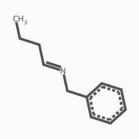 CCCC=NCc1ccccc1